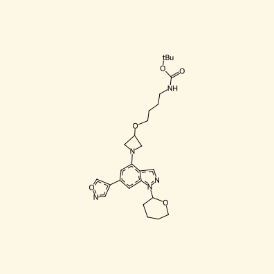 CC(C)(C)OC(=O)NCCCCOC1CN(c2cc(-c3cnoc3)cc3c2cnn3C2CCCCO2)C1